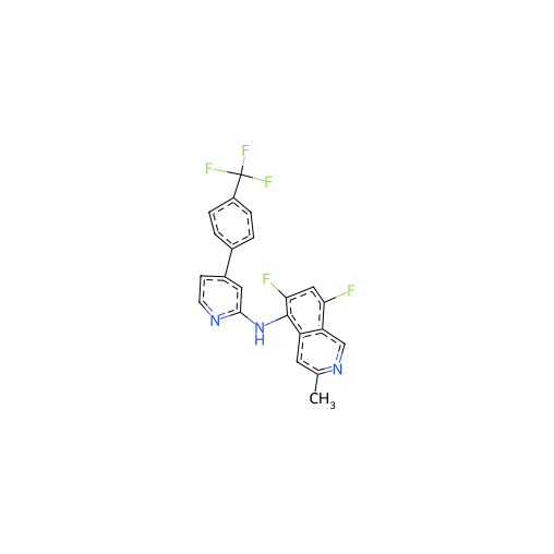 Cc1cc2c(Nc3cc(-c4ccc(C(F)(F)F)cc4)ccn3)c(F)cc(F)c2cn1